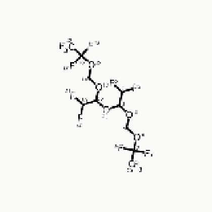 FC(F)C(OCOC(F)(F)C(F)(F)F)OC(OCOC(F)(F)C(F)(F)F)C(F)F